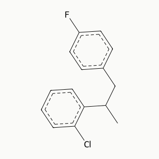 CC(Cc1ccc(F)cc1)c1ccccc1Cl